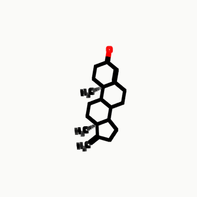 C=C1CCC2C3CCC4=CC(=O)CC[C@]4(C)C3CC[C@]12C